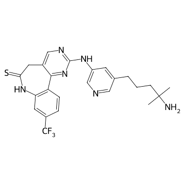 CC(C)(N)CCCc1cncc(Nc2ncc3c(n2)-c2ccc(C(F)(F)F)cc2NC(=S)C3)c1